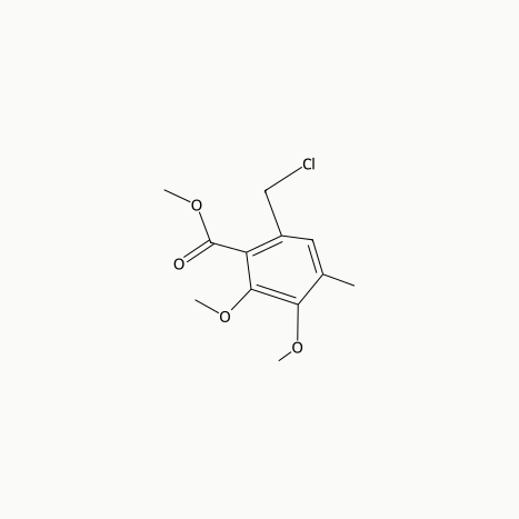 COC(=O)c1c(CCl)cc(C)c(OC)c1OC